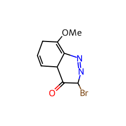 COC1=C2N=NC(Br)C(=O)C2C=CC1